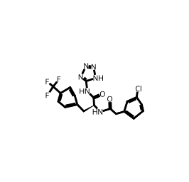 O=C(Cc1cccc(Cl)c1)N[C@@H](Cc1ccc(C(F)(F)F)cc1)C(=O)Nc1nnn[nH]1